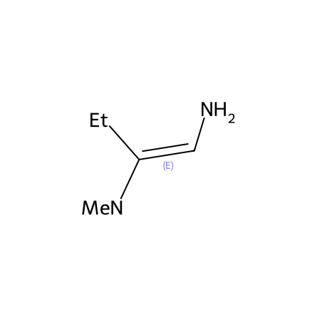 CC/C(=C\N)NC